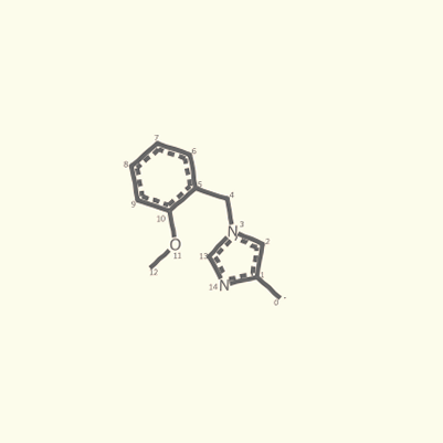 [CH2]c1cn(Cc2ccccc2OC)cn1